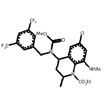 CCOC(=O)N1c2c(NC(C)=O)cc(Cl)cc2C(N(Cc2cc(C(F)(F)F)cc(C(F)(F)F)c2)C(=O)OC)CC1C